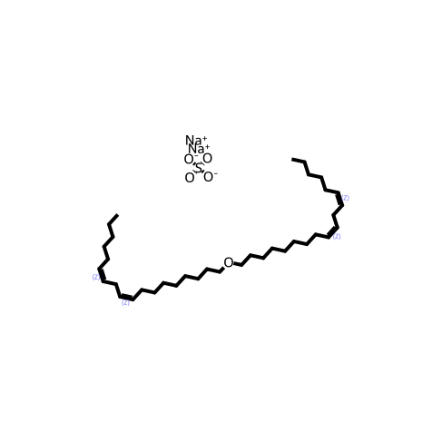 CCCCC/C=C\C/C=C\CCCCCCCCOCCCCCCCC/C=C\C/C=C\CCCCC.O=S(=O)([O-])[O-].[Na+].[Na+]